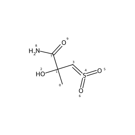 CC(O)(C=S(=O)=O)C(N)=O